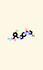 CC(=O)c1ccn(C(=O)N2CCC3(CCN(Cc4cc(Cl)ccc4C(N)=O)C3)CC2)n1